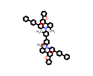 Cc1cc(-c2ccc(N(c3ccc(-c4ccc(-c5ccccc5)cc4)cc3)c3c(C)cccc3-c3cccc4c3oc3ccccc34)c(C)c2)ccc1N(c1ccc(-c2ccc(-c3ccccc3)cc2)cc1)c1c(C)cccc1-c1cccc2c1oc1ccccc12